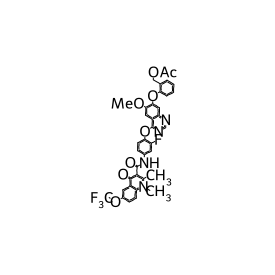 COc1cc2c(Oc3ccc(NC(=O)c4c(C)n(C)c5ccc(OC(F)(F)F)cc5c4=O)cc3F)ncnc2cc1Oc1ccccc1COC(C)=O